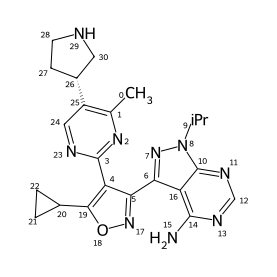 Cc1nc(-c2c(-c3nn(C(C)C)c4ncnc(N)c34)noc2C2CC2)ncc1[C@@H]1CCNC1